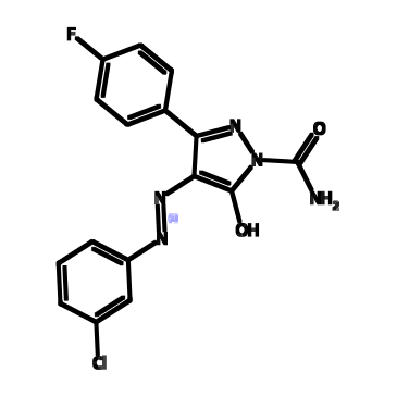 NC(=O)n1nc(-c2ccc(F)cc2)c(/N=N/c2cccc(Cl)c2)c1O